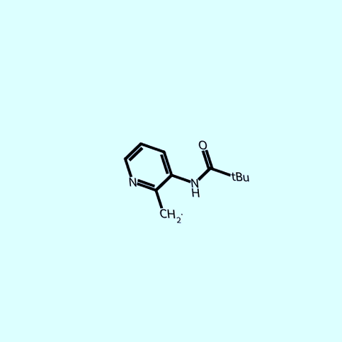 [CH2]c1ncccc1NC(=O)C(C)(C)C